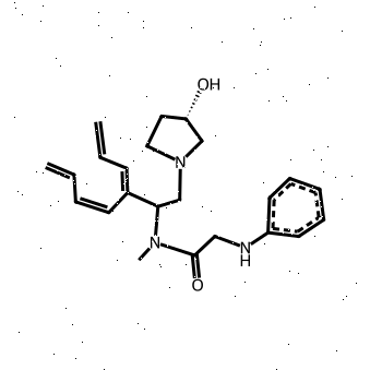 C=C/C=C\C(=C/C=C)C(CN1CC[C@H](O)C1)N(C)C(=O)CNc1ccccc1